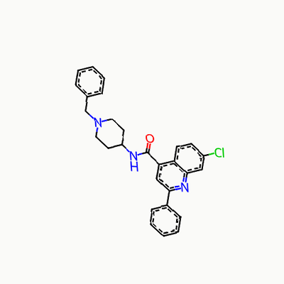 O=C(NC1CCN(Cc2ccccc2)CC1)c1cc(-c2ccccc2)nc2cc(Cl)ccc12